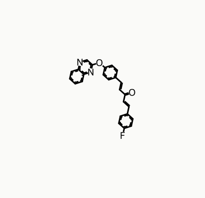 O=C(C=Cc1ccc(F)cc1)C=Cc1ccc(Oc2cnc3ccccc3n2)cc1